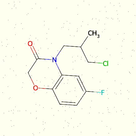 CC(CCl)CN1C(=O)COc2ccc(F)cc21